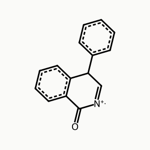 O=C1[N+]=CC(c2ccccc2)c2ccccc21